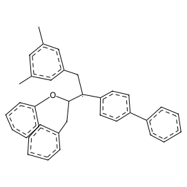 Cc1cc(C)cc(C[C](c2ccc(-c3ccccc3)cc2)C(Cc2ccccc2)Oc2ccccc2)c1